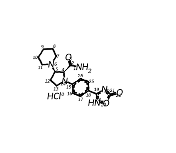 Cl.NC(=O)[C@@H]1[C@H](N2CCCCC2)CCN1c1ccc(-c2nc(=O)o[nH]2)cc1